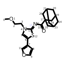 COCCn1cc(-c2ccoc2)s/c1=N\C(=O)C12CC3CC(CC(C3)C1)C2